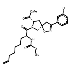 C=CCCCCC[C@H](NC(=O)OC(C)(C)C)C(=O)N1C[C@@]2(CC(c3cccc(Cl)c3)=NO2)C[C@H]1C(=O)OC